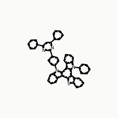 c1ccc(-c2cc(-c3ccccc3)nc(-c3ccc(-n4c5ccccc5c5c6sc7ccccc7c6c6c(c7ccccc7n6-c6ccccc6)c54)cc3)n2)cc1